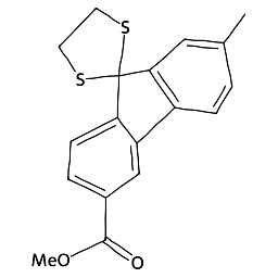 COC(=O)c1ccc2c(c1)-c1ccc(C)cc1C21SCCS1